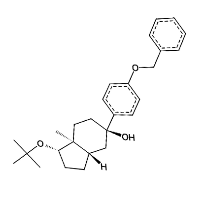 CC(C)(C)O[C@H]1CC[C@H]2C[C@@](O)(c3ccc(OCc4ccccc4)cc3)CC[C@@]21C